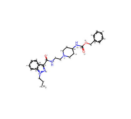 CCCn1nc(C(=O)NCCN2CCC(NC(=O)OCc3ccccc3)CC2)c2ccccc21